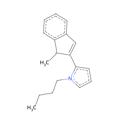 CCCCn1cccc1C1=Cc2ccccc2[C]1C